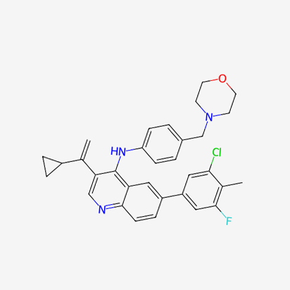 C=C(c1cnc2ccc(-c3cc(F)c(C)c(Cl)c3)cc2c1Nc1ccc(CN2CCOCC2)cc1)C1CC1